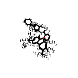 C/[C](c1ccc(C)cc1)=[Zr+2](\[C]1=CC(C2(C)CCCCC2)=CC1C)[c]1c(C)c(C(C)(C)C)cc2c1Cc1cc(C)c(C(C)(C)C)cc1-2.[Cl-].[Cl-]